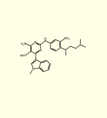 COc1c(N)nc(Nc2ccc(N(C)CCN(C)C)c([N+](=O)[O-])c2)nc1-c1cn(C)c2ccccc12